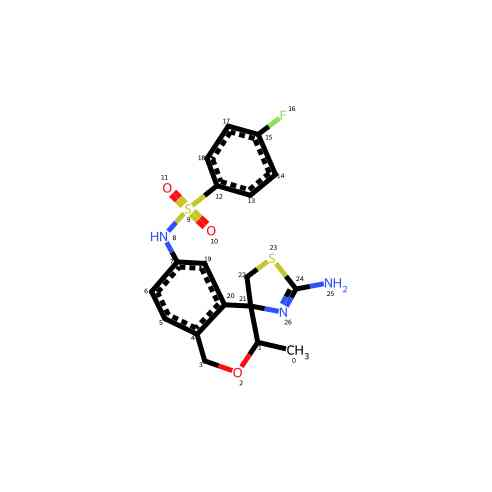 CC1OCc2ccc(NS(=O)(=O)c3ccc(F)cc3)cc2C12CSC(N)=N2